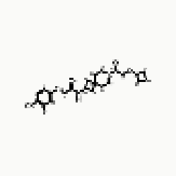 O=C(COc1ccc(Cl)c(F)c1)NC1CC2(CCN(C(=O)COC3CCC3)CC2)C1